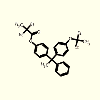 CCC(C)(CC)Oc1ccc(C(C)(c2ccccc2)c2ccc(OC(=O)C(C)(CC)CC)cc2)cc1